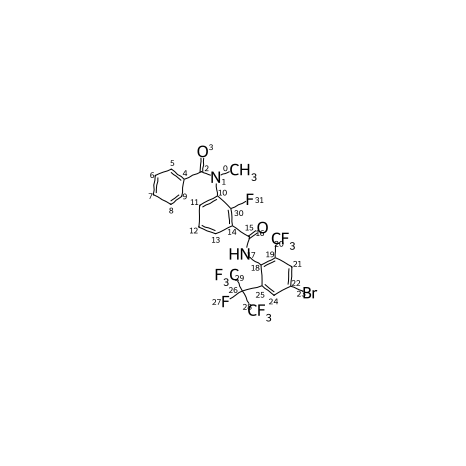 CN(C(=O)c1ccccc1)c1cccc(C(=O)Nc2c(C(F)(F)F)cc(Br)cc2C(F)(C(F)(F)F)C(F)(F)F)c1F